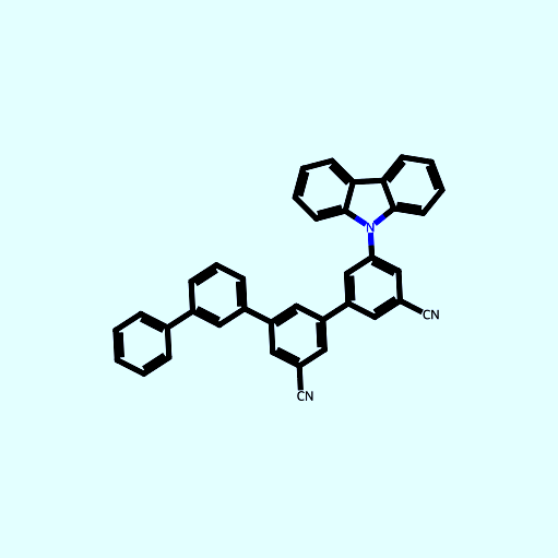 N#Cc1cc(-c2cccc(-c3ccccc3)c2)cc(-c2cc(C#N)cc(-n3c4ccccc4c4ccccc43)c2)c1